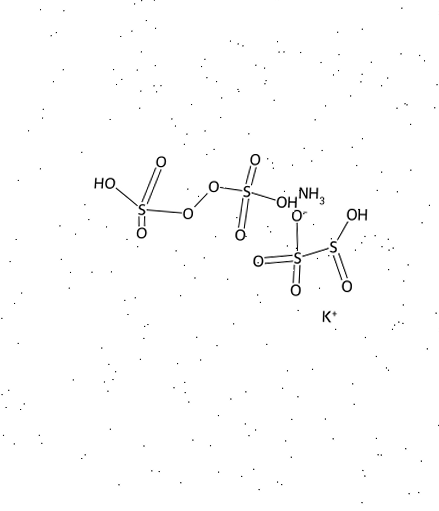 N.O=S(=O)(O)OOS(=O)(=O)O.O=S(O)S(=O)(=O)[O-].[K+]